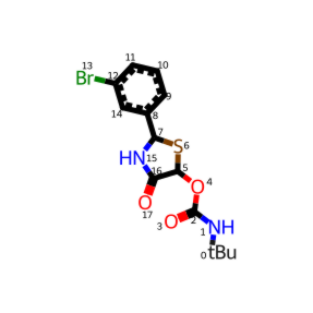 CC(C)(C)NC(=O)OC1SC(c2cccc(Br)c2)NC1=O